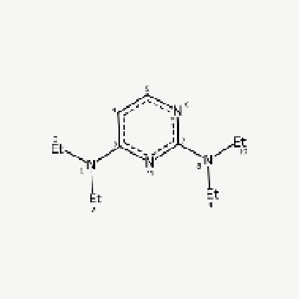 CCN(CC)c1ccnc(N(CC)CC)n1